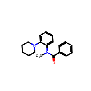 O=C(c1ccccc1)N(c1ccccc1N1CCCCC1)[N+](=O)[O-]